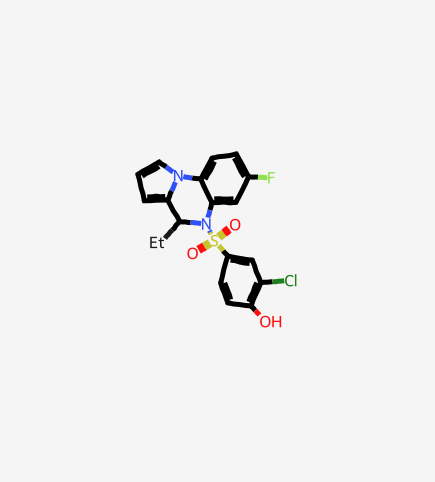 CCC1c2cccn2-c2ccc(F)cc2N1S(=O)(=O)c1ccc(O)c(Cl)c1